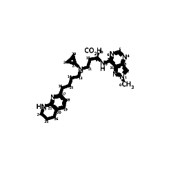 Cn1cc2ncnc(N[C@@H](CCN(CCCCc3ccc4c(n3)NCCC4)C3CC3)C(=O)O)c2n1